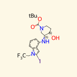 CC(C)(C)OC(=O)N1CC[C@H](O)[C@@H](Nc2cccc3c2cc(I)n3CC(F)(F)F)C1